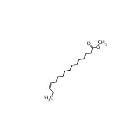 CC/C=C\CCCCCCCCCCCC(=O)OC